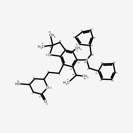 Cc1c2c(c(CCC3CC(O)CC(=O)O3)c(C(C)C)c1N(Cc1ccccc1)Cc1ccccc1)OC(C)(C)C2